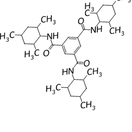 CC1CC(C)C(NC(=O)c2cc(C(=O)NC3C(C)CC(C)CC3C)cc(C(=O)NC3C(C)CC(C)CC3C)c2)C(C)C1